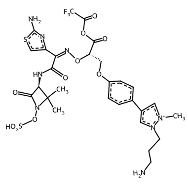 C[n+]1cc(-c2ccc(OC[C@H](O/N=C(\C(=O)N[C@@H]3C(=O)N(OS(=O)(=O)O)C3(C)C)c3csc(N)n3)C(=O)OC(=O)C(F)(F)F)cc2)cn1CCCN